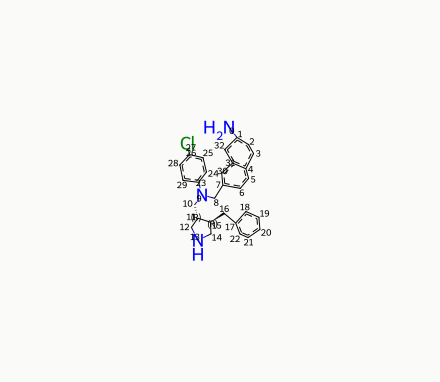 Nc1ccc2ccc(CN(C[C@H]3CNC[C@@H]3Cc3ccccc3)c3ccc(Cl)cc3)cc2c1